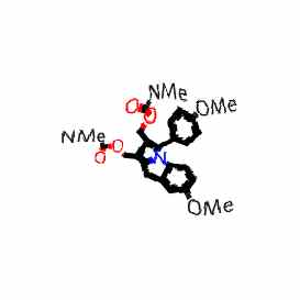 CNC(=O)OCc1c(COC(=O)NC)c(-c2ccc(OC)cc2)n2c1Cc1cc(OC)ccc1-2